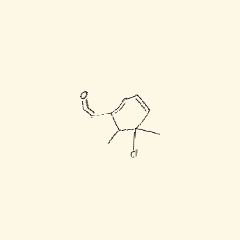 CC1C([C]=O)=CC=CC1(C)Cl